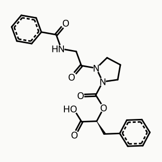 O=C(NCC(=O)N1CCCN1C(=O)O[C@@H](Cc1ccccc1)C(=O)O)c1ccccc1